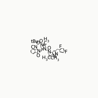 C[C@@H]1CN(CC(=O)N2CC(C)(C)c3nnc(Cc4ccc(F)cc4F)cc32)[C@@H](CN2Cc3c(C#N)cccc3C2=O)CN1C(=O)OC(C)(C)C